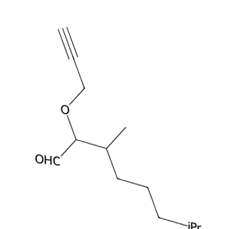 C#CCOC(C=O)C(C)CCCC(C)C